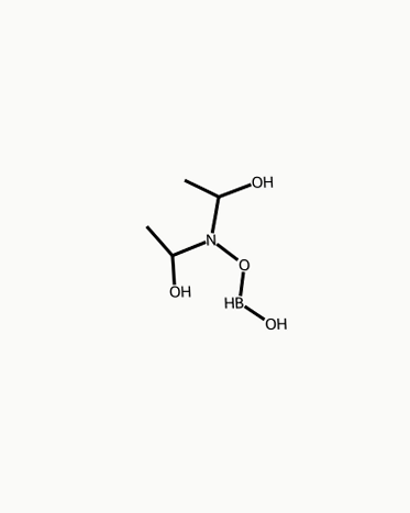 CC(O)N(OBO)C(C)O